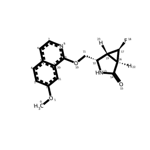 COc1ccc2ccnc(OC[C@H]3NC(=O)[C@@H]4[C@H](F)[C@H]43)c2c1